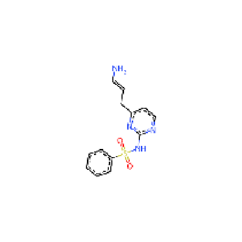 NC=CCc1ccnc(NS(=O)(=O)c2ccccc2)n1